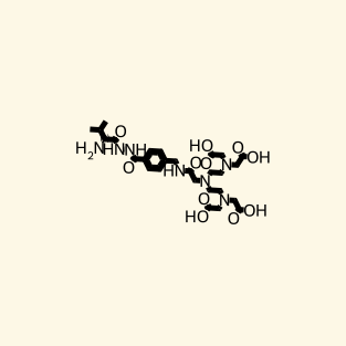 CC(C)[C@@H](N)C(=O)NNC(=O)c1ccc(CNC(=O)CN(CCN(CC(=O)O)CC(=O)O)CCN(CC(=O)O)CC(=O)O)cc1